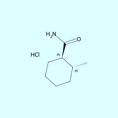 C[C@@H]1CCCC[C@H]1C(N)=O.Cl